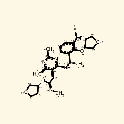 C=c1nc(C)nc(N[C@H](C)c2cccc(C(F)F)c2O[C@@H]2CCOC2)/c1=C/C(=N\C)O[C@@H]1CCOC1